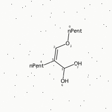 CCCCCOC=C(CCCCC)C(O)O